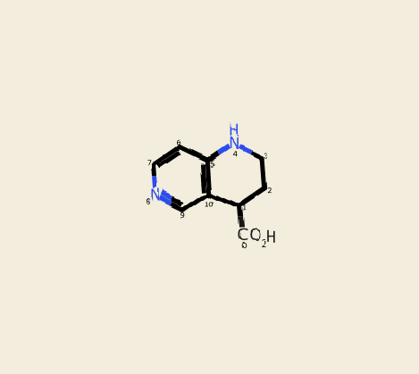 O=C(O)C1CCNc2ccncc21